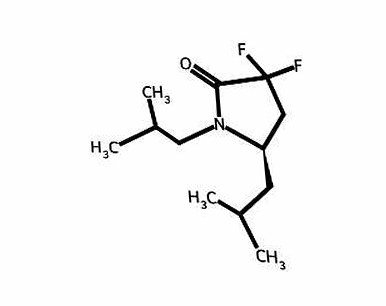 CC(C)C[C@@H]1CC(F)(F)C(=O)N1CC(C)C